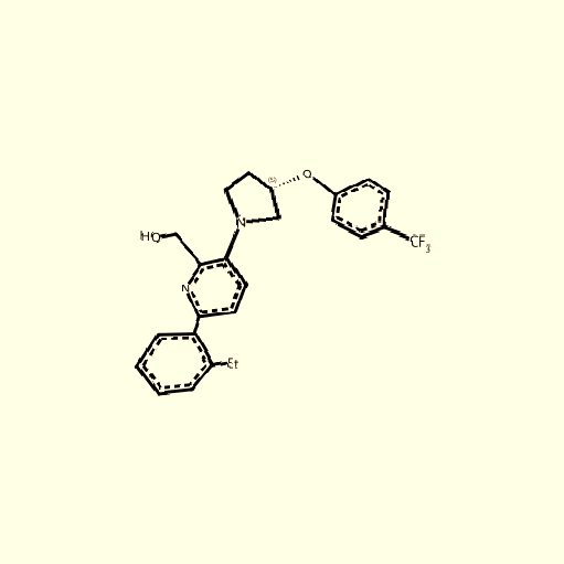 CCc1ccccc1-c1ccc(N2CC[C@H](Oc3ccc(C(F)(F)F)cc3)C2)c(CO)n1